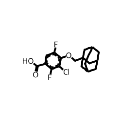 O=C(O)c1cc(F)c(OCC23CC4CC(CC(C4)C2)C3)c(Cl)c1F